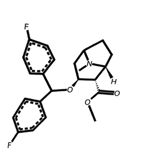 COC(=O)[C@@H]1[C@@H](OC(c2ccc(F)cc2)c2ccc(F)cc2)CC2CC[C@H]1N2C